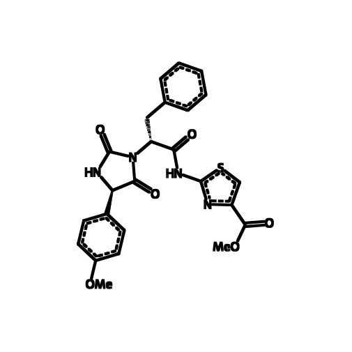 COC(=O)c1csc(NC(=O)[C@@H](Cc2ccccc2)N2C(=O)N[C@H](c3ccc(OC)cc3)C2=O)n1